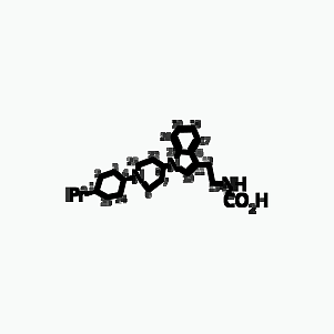 CC(C)[C@H]1CC[C@@H](N2CCC(n3cc(CCNC(=O)O)c4ccccc43)CC2)CC1